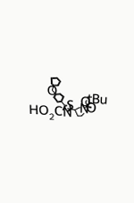 CC(C)(C)OC(=O)N1CCCC(c2nc(C(=O)O)c(-c3ccc(Oc4ccccc4)cc3)s2)C1